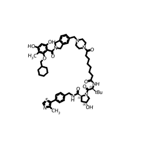 Cc1ncsc1-c1ccc(CNC(=O)[C@@H]2C[C@@H](O)CN2C(=O)[C@@H](NC(=O)CCCCCCC(=O)N2CCN(Cc3ccc4c(c3)CN(C(=O)c3c(O)cc(O)c(C)c3OCC3CCCCC3)C4)CC2)C(C)(C)C)cc1